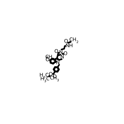 C=CC(=O)NCCCN1C(=O)C2CN(Cc3c2c2cc(OC)ccc2n3Cc2ccc(C(=O)OC(C)(C)C)cc2)C1=O